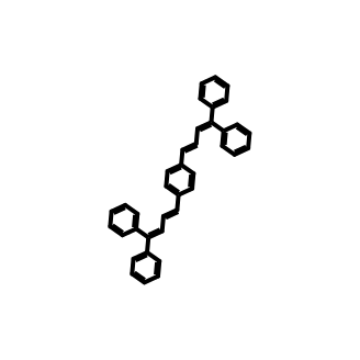 C(/C=C/c1ccc(/C=C/C=C(c2ccccc2)c2ccccc2)cc1)=C(c1ccccc1)c1ccccc1